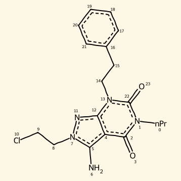 CCCn1c(=O)c2c(N)n(CCCl)nc2n(CCc2ccccc2)c1=O